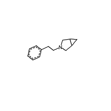 c1ccc(CCN2CC3CC3C2)cc1